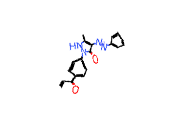 C=CC(=O)c1ccc(-n2[nH]c(C)c(/N=N/c3ccccc3)c2=O)cc1